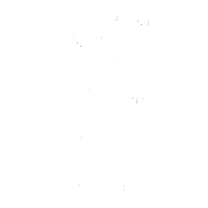 Cc1[nH]nc(N)c1-c1nc2cc(F)c(CO)cc2s1